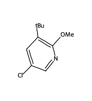 COc1ncc(Cl)cc1C(C)(C)C